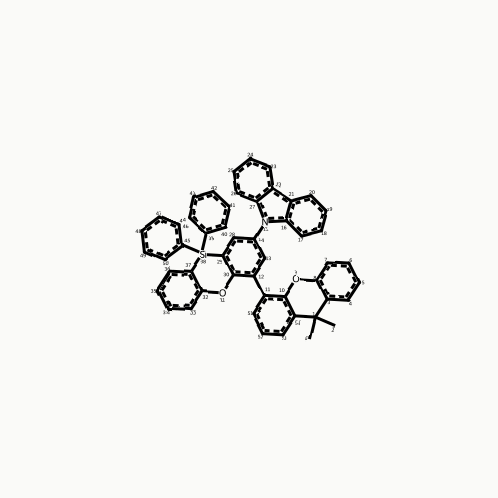 CC1(C)c2ccccc2Oc2c(-c3cc(-n4c5ccccc5c5ccccc54)cc4c3Oc3ccccc3[Si]4(c3ccccc3)c3ccccc3)cccc21